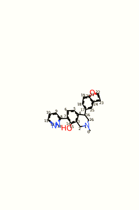 CN1Cc2c(ccc(-c3cccnn3)c2O)C(c2ccc3occc3c2)C1